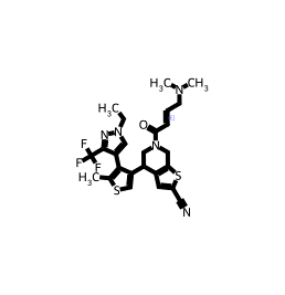 CCn1cc(-c2c(C3CN(C(=O)/C=C/CN(C)C)Cc4sc(C#N)cc43)csc2C)c(C(F)(F)F)n1